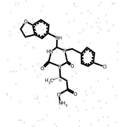 C[C@@H](CC(=O)ON)N1C(=O)NC(Nc2ccc3c(c2)CCO3)N(Cc2ccc(Cl)cc2)C1=O